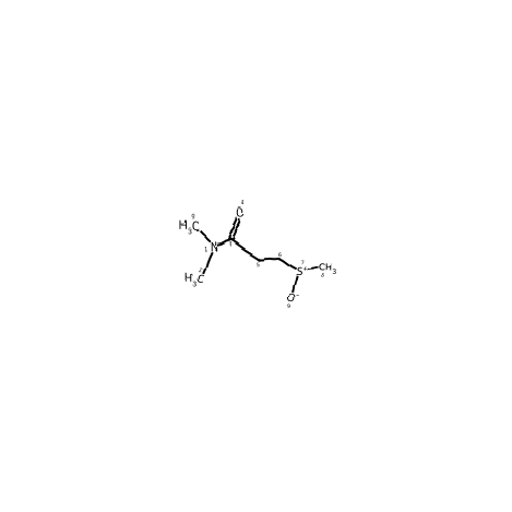 CN(C)C(=O)CC[S+](C)[O-]